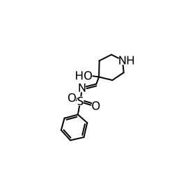 O=S(=O)(N=CC1(O)CCNCC1)c1ccccc1